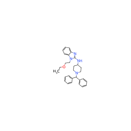 CCOCCn1c(NC2CCN(C(c3ccccc3)c3ccccc3)CC2)nc2ccccc21